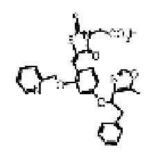 Cc1ocnc1C(Cc1ccccc1)Oc1ccc(C=C2SC(=S)N(CC(=O)O)C2=O)c(OCc2ccccn2)c1